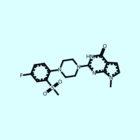 Cn1ccc2c(=O)[nH]c(N3CCN(c4ccc(F)cc4S(C)(=O)=O)CC3)nc21